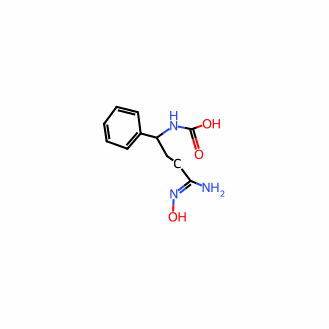 NC(CCC(NC(=O)O)c1ccccc1)=NO